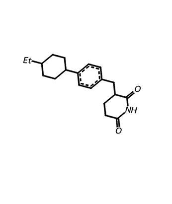 CCC1CCC(c2ccc(CC3CCC(=O)NC3=O)cc2)CC1